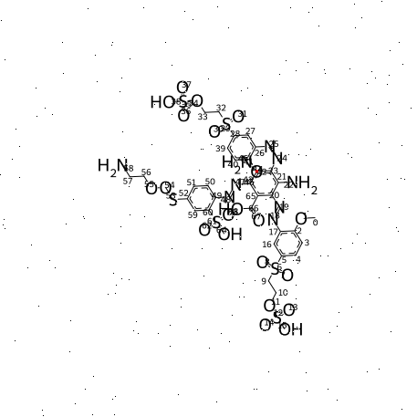 COc1ccc(S(=O)(=O)CCOS(=O)(=O)O)cc1N=Nc1c(N)c(/N=N\c2cc(S(=O)(=O)CCOS(=O)(=O)O)ccc2OC)c(N)c(N=Nc2ccc(SOOCCN)cc2S(=O)(=O)O)c1C(=O)O